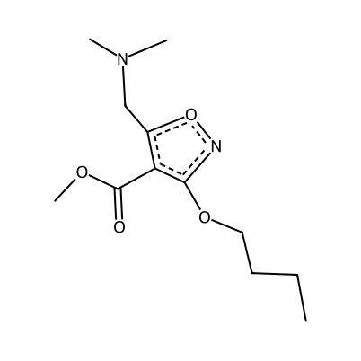 CCCCOc1noc(CN(C)C)c1C(=O)OC